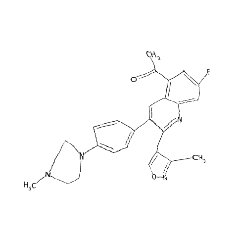 CC(=O)c1cc(F)cc2nc(-c3conc3C)c(-c3ccc(N4CCN(C)CC4)cc3)cc12